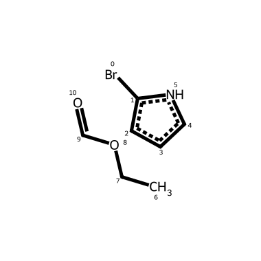 Brc1ccc[nH]1.CCOC=O